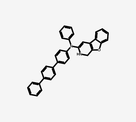 C1=C(N(c2ccccc2)c2ccc(-c3ccc(-c4ccccc4)cc3)cc2)NCc2oc3ccccc3c21